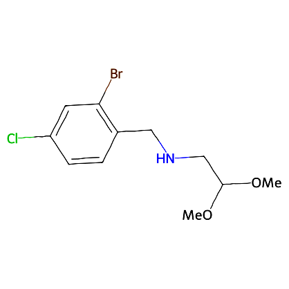 COC(CNCc1ccc(Cl)cc1Br)OC